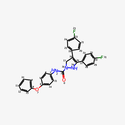 O=C(Nc1ccc(Oc2ccccc2)cc1)N1CC(c2ccc(F)cc2)=C(c2ccc(F)cc2)N1